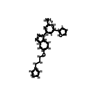 Nc1nc(-c2ccco2)cc(-n2nnc3cc(OCCCn4ccnc4)ccc32)n1